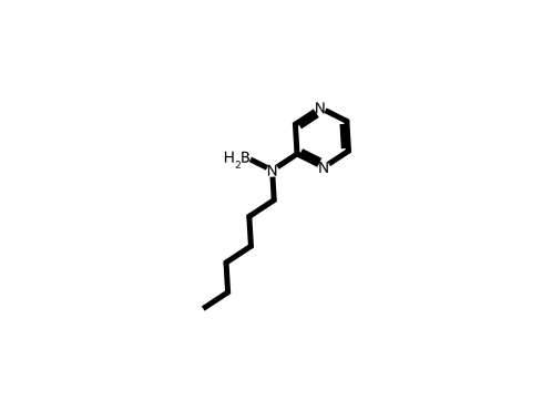 BN(CCCCCC)c1cnccn1